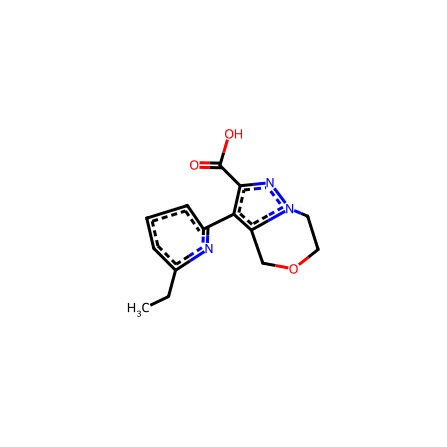 CCc1cccc(-c2c(C(=O)O)nn3c2COCC3)n1